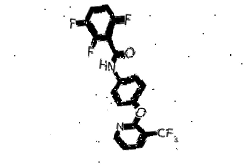 O=C(Nc1ccc(Oc2ncccc2C(F)(F)F)cc1)c1c(F)ccc(F)c1F